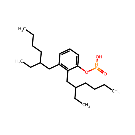 CCCCC(CC)Cc1cccc(O[PH](=O)O)c1CC(CC)CCCC